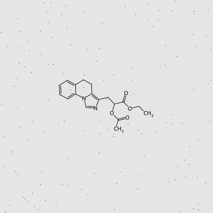 CCOC(=O)C(Cc1ncn2c1CCc1ccccc1-2)OC(C)=O